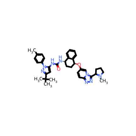 Cc1ccc(-n2nc(C(C)(C)C)cc2NC(=O)N[C@H]2CC[C@H](Oc3ccc4nnc(C5CCCN5C)n4c3)c3ccccc32)cc1